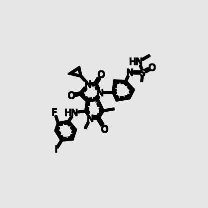 CNS(C)(=O)=Nc1cccc(-n2c(=O)n(C3CC3)c(=O)c3c(Nc4ccc(I)cc4F)n(C)c(=O)c(C)c32)c1